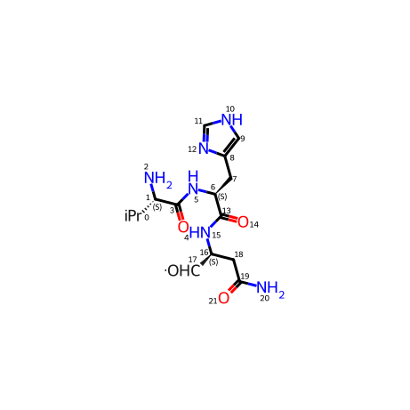 CC(C)[C@H](N)C(=O)N[C@@H](Cc1c[nH]cn1)C(=O)N[C@H]([C]=O)CC(N)=O